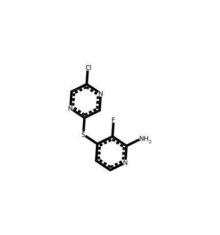 Nc1nccc(Sc2cnc(Cl)cn2)c1F